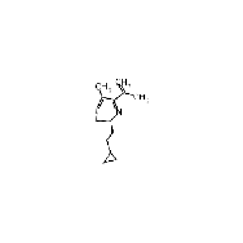 C=C(C)C1=N[C@@H](CCC2CC2)CC=C1C